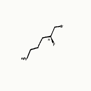 CCCCCC[C@H](F)CBr